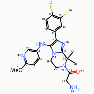 COc1ccc(Nc2c(-c3ccc(F)c(F)c3)nc3n2CCN(C(=O)CN)C3(C)C)cn1